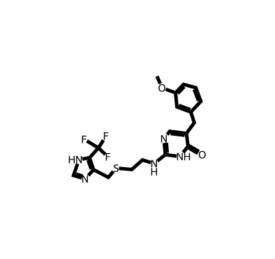 COc1cccc(Cc2cnc(NCCSCc3nc[nH]c3C(F)(F)F)[nH]c2=O)c1